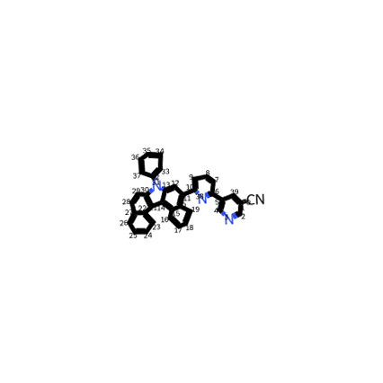 N#Cc1cncc(-c2cccc(-c3cc4c(c5ccccc35)c3c5ccccc5ccc3n4-c3ccccc3)n2)c1